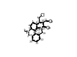 CN(C)c1ccc2c(CCl)c(C=O)c(=O)n(Cc3ccccc3)c2c1